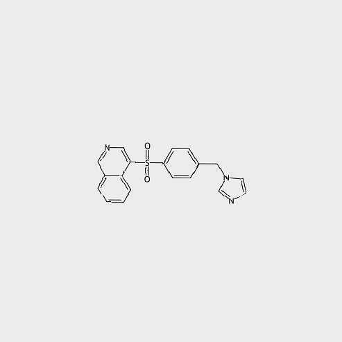 O=S(=O)(c1ccc(Cn2ccnc2)cc1)c1cncc2ccccc12